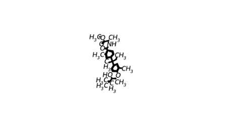 CCC(CC)(c1ccc(OC(C)C(O)C(C)(C)C)c(C)c1)c1ccc(C(=O)N[C@@H](C)C(=O)OC)c(C)c1